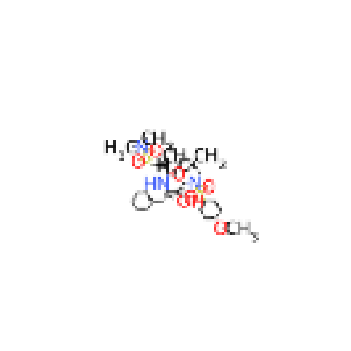 COc1ccc(S(=O)(=O)N(CC(C)C)C[C@@H](O)[C@H](Cc2ccccc2)NC(=O)[C@@H](C)CS(=O)(=O)N(C)C)cc1